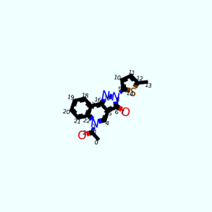 CC(=O)n1cc2c(=O)n(-c3ccc(C)s3)nc-2c2ccccc21